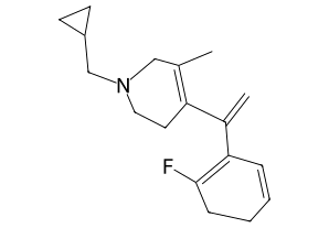 C=C(C1=C(F)CCC=C1)C1=C(C)CN(CC2CC2)CC1